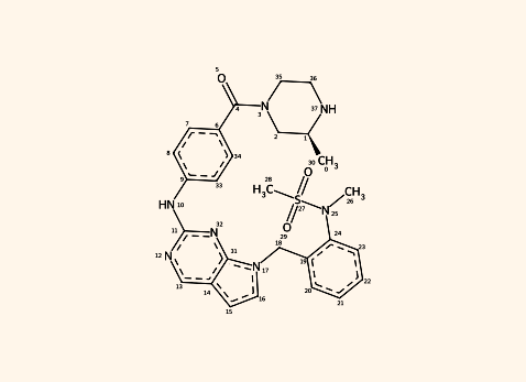 C[C@H]1CN(C(=O)c2ccc(Nc3ncc4ccn(Cc5ccccc5N(C)S(C)(=O)=O)c4n3)cc2)CCN1